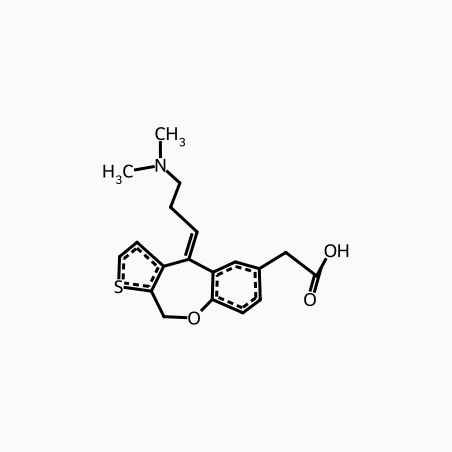 CN(C)CC/C=C1/c2cc(CC(=O)O)ccc2OCc2sccc21